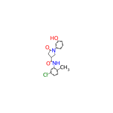 Cc1ccc(Cl)cc1NC(=O)C1CC(=O)N(c2cccc(O)c2)C1